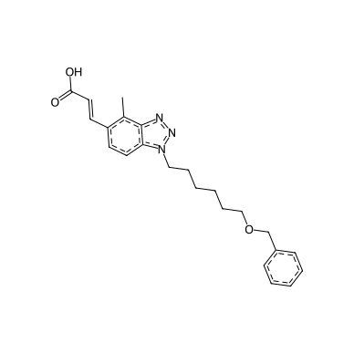 Cc1c(C=CC(=O)O)ccc2c1nnn2CCCCCCOCc1ccccc1